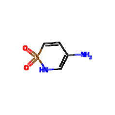 NC1=CNS(=O)(=O)C=C1